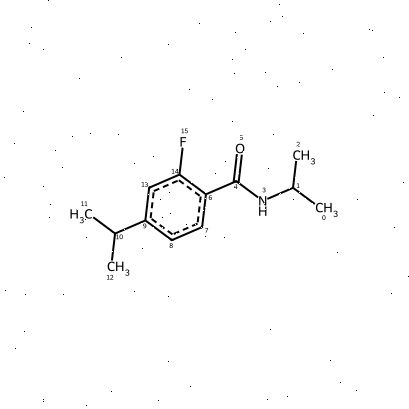 CC(C)NC(=O)c1ccc(C(C)C)cc1F